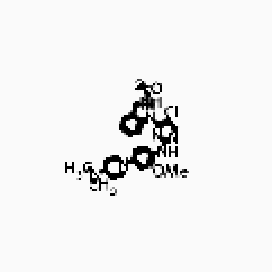 COc1cc(N2CCC(N(C)C)CC2)ccc1Nc1ncc(Cl)c(Nc2ccccc2CN[SH](=O)=O)n1